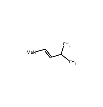 CN/C=C/C(C)C